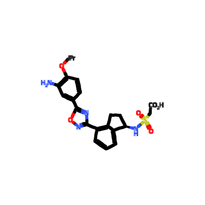 CC(C)Oc1ccc(-c2nc(-c3cccc4c3CC[C@H]4NS(=O)(=O)CC(=O)O)no2)cc1N